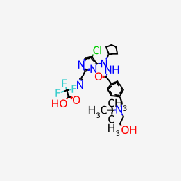 CC(C)(C)N(CCO)Cc1ccc(C(=O)NN(c2nc(C#N)ncc2Cl)C2CCCC2)cc1.O=C(O)C(F)(F)F